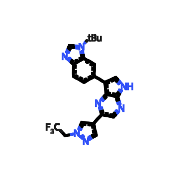 CC(C)(C)n1cnc2ccc(-c3c[nH]c4ncc(-c5cnn(CC(F)(F)F)c5)nc34)cc21